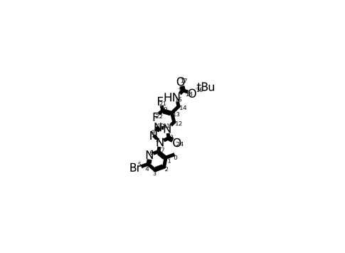 Cc1ccc(Br)nc1-n1nnn(CC(CNC(=O)OC(C)(C)C)=C(F)F)c1=O